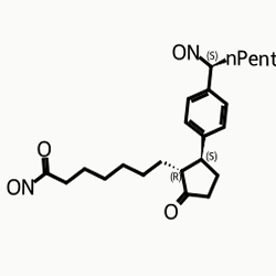 CCCCC[C@H](N=O)c1ccc([C@H]2CCC(=O)[C@@H]2CCCCCCC(=O)N=O)cc1